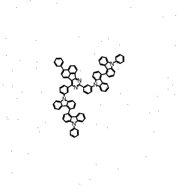 c1ccc(-c2ccc3c4c(cccc24)-c2nc(-c4cccc(-n5c6ccccc6c6c(-c7cccc8c7c7ccccc7n8-c7ccccc7)cccc65)c4)nc(-c4cccc(-n5c6ccccc6c6c(-c7cccc8c7c7ccccc7n8-c7ccccc7)cccc65)c4)c2-3)cc1